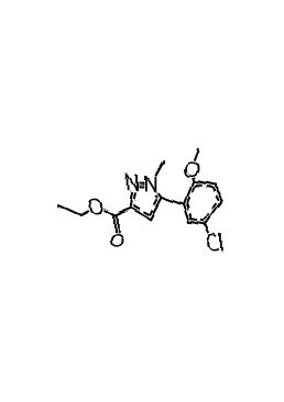 CCOC(=O)c1cc(-c2cc(Cl)ccc2OC)n(C)n1